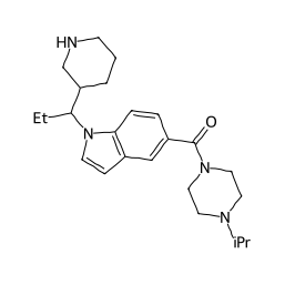 CCC(C1CCCNC1)n1ccc2cc(C(=O)N3CCN(C(C)C)CC3)ccc21